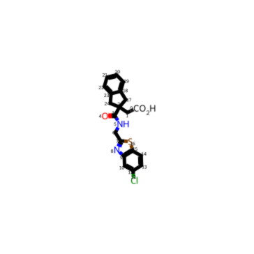 O=C(O)CC1(C(=O)NCc2nc3cc(Cl)ccc3s2)Cc2ccccc2C1